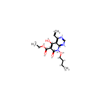 C=Cc1ncnc2c1c(O)c(C(=O)OCC)c(=O)n2OCCCC